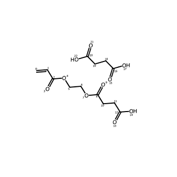 C=CC(=O)OCCOC(=O)CCC(=O)O.O=C(O)CCC(=O)O